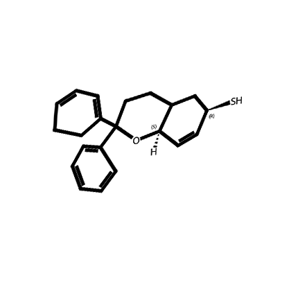 S[C@H]1C=C[C@H]2OC(C3=CC=CCC3)(c3ccccc3)CCC2C1